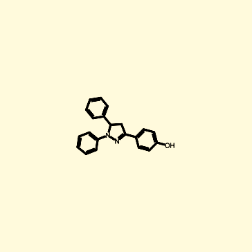 Oc1ccc(C2=NN(c3ccccc3)C(c3ccccc3)C2)cc1